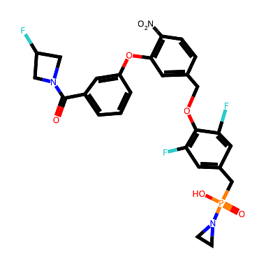 O=C(c1cccc(Oc2cc(COc3c(F)cc(CP(=O)(O)N4CC4)cc3F)ccc2[N+](=O)[O-])c1)N1CC(F)C1